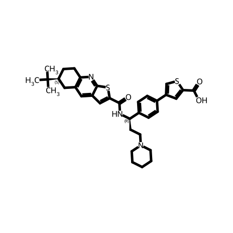 CC(C)(C)[C@H]1CCc2nc3sc(C(=O)N[C@H](CCN4CCCCC4)c4ccc(-c5csc(C(=O)O)c5)cc4)cc3cc2C1